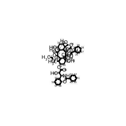 CC(=O)O[C@H]1C(=O)[C@@]2(C)[C@@H]([C@]3(OC(C)=O)CO[C@@H]3C[C@@H]2O)[C@]2(OC(=O)c3ccccc3)[C@@H](C)[C@@]3(C)C1=C(C)[C@@H](OC(=O)[C@H](O)[C@@H](NC(=O)c1ccccc1)c1ccccc1)C[C@@]23O